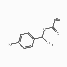 CCCCC(=O)OC(C)c1ccc(O)cc1